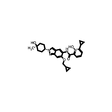 C[C@]1(O)CC[C@H](n2cc3cc(NC(=O)c4cccc(C5CC5)[n+]4O)c(OCC4CC4)cc3n2)CC1